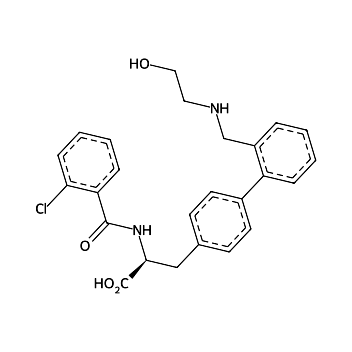 O=C(N[C@@H](Cc1ccc(-c2ccccc2CNCCO)cc1)C(=O)O)c1ccccc1Cl